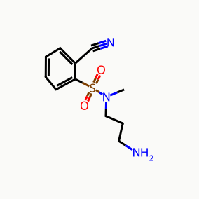 CN(CCCN)S(=O)(=O)c1ccccc1C#N